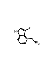 NCc1ccnc2[nH]cc(F)c12